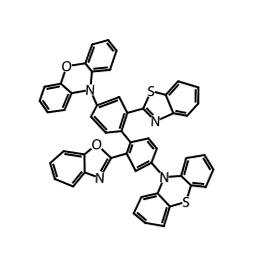 c1ccc2c(c1)Oc1ccccc1N2c1ccc(-c2ccc(N3c4ccccc4Sc4ccccc43)cc2-c2nc3ccccc3o2)c(-c2nc3ccccc3s2)c1